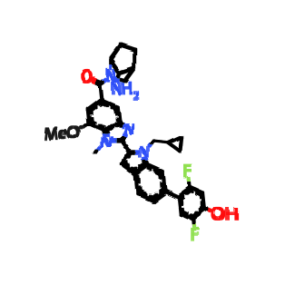 COc1cc(C(=O)N2CC3CCC2C3N)cc2nc(-c3cc4ccc(-c5cc(F)c(O)cc5F)cc4n3CC3CC3)n(C)c12